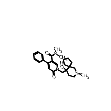 CN1CCC(O)(Cn2cc(C(=O)N(C)C)c(-c3ccccc3)cc2=O)C2(CCCC2)C1